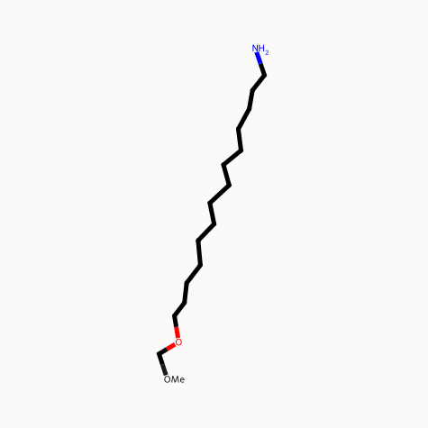 COCOCCCCCCCCCCCCCCN